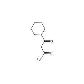 O=C(CC(=O)C(F)(F)F)C1CCCCC1